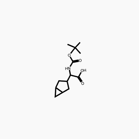 CC(C)(C)OC(=O)NC(C(=O)O)C1CC2CC2C1